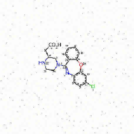 O=C(O)CC1CN(C2=Nc3ccc(Cl)cc3Oc3ccccc32)CCN1